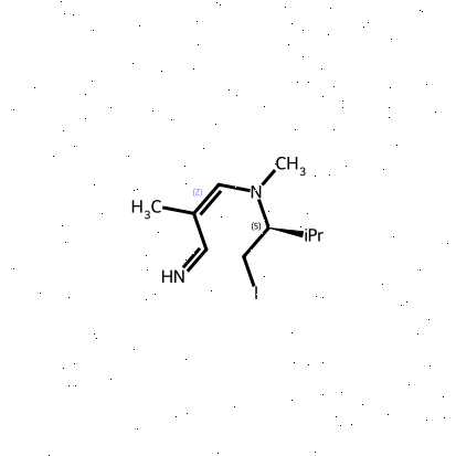 C/C(C=N)=C/N(C)[C@H](CI)C(C)C